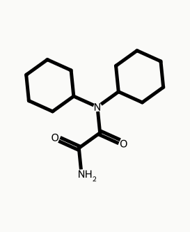 NC(=O)C(=O)N(C1CCCCC1)C1CCCCC1